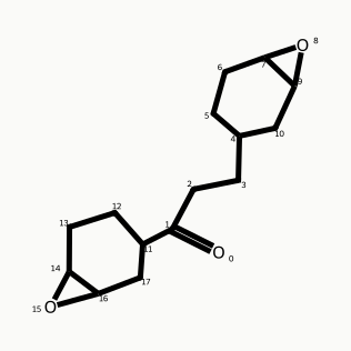 O=C(CCC1CCC2OC2C1)C1CCC2OC2C1